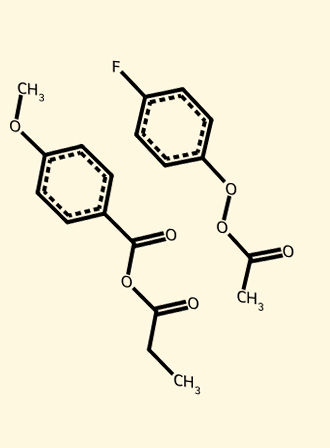 CC(=O)OOc1ccc(F)cc1.CCC(=O)OC(=O)c1ccc(OC)cc1